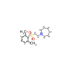 Cc1cccc(C)c1S(=O)(=O)CCN1CCCCCC1